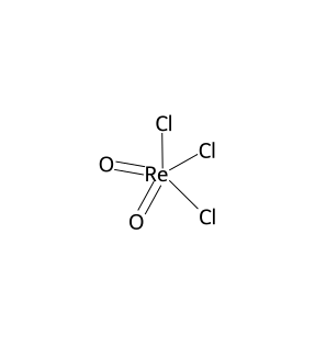 [O]=[Re](=[O])([Cl])([Cl])[Cl]